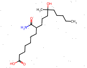 CCCCCC(C)(O)CCCC(CCCCCCC(=O)O)C(N)=O